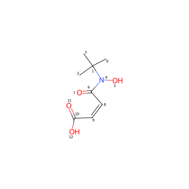 CC(C)(C)N(O)C(=O)/C=C\C(=O)O